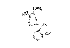 COc1cc(C(=O)c2ccccc2C#N)ccc1O